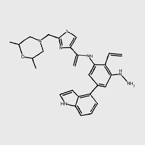 C=Cc1c(NN)cc(-c2cccc3[nH]ccc23)cc1NC(=C)c1csc(CN2CC(C)OC(C)C2)n1